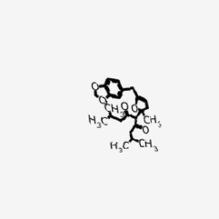 CC(C)CC(=O)C(C(=O)CC(C)C)C1(C)CC=C(Cc2ccc3c(c2)OCO3)O1